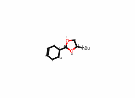 CCCCC1COC(C2CC=CCC2)O1